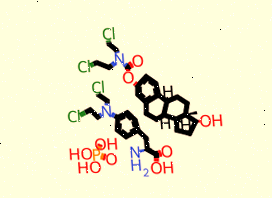 C[C@]12CC[C@@H]3c4ccc(OC(=O)N(CCCl)CCCl)cc4CC[C@H]3[C@@H]1CC[C@@H]2O.N[C@@H](Cc1ccc(N(CCCl)CCCl)cc1)C(=O)O.O=P(O)(O)O